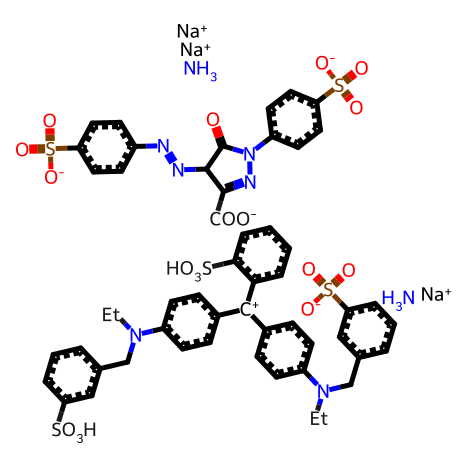 CCN(Cc1cccc(S(=O)(=O)[O-])c1)c1ccc([C+](c2ccc(N(CC)Cc3cccc(S(=O)(=O)O)c3)cc2)c2ccccc2S(=O)(=O)O)cc1.N.N.O=C([O-])C1=NN(c2ccc(S(=O)(=O)[O-])cc2)C(=O)C1N=Nc1ccc(S(=O)(=O)[O-])cc1.[Na+].[Na+].[Na+]